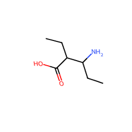 CCC(N)C(CC)C(=O)O